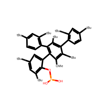 COc1c(-c2cc(C(C)(C)C)cc(C(C)(C)C)c2OP(O)O)c(-c2ccc(C(C)(C)C)cc2C(C)(C)C)c(C(C)(C)C)c(-c2ccc(C(C)(C)C)cc2C(C)(C)C)c1C(C)(C)C